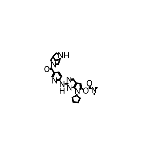 CN(C)C(=O)Oc1cc2cnc(Nc3ccc(C(=O)N4CC5CNC(C5)C4)cn3)nc2n1C1CCCC1